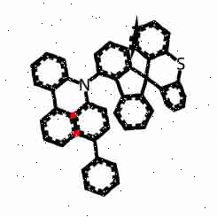 c1ccc(-c2ccc(N(c3ccccc3-c3ccccc3)c3cccc4c3-c3ccccc3C43c4ccccc4Sc4ccc5ccccc5c43)cc2)cc1